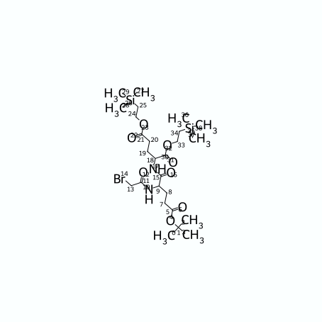 CC(C)(C)OC(=O)CCC(NC(=O)CBr)C(=O)NC(CCC(=O)OCC[Si](C)(C)C)C(=O)OCC[Si](C)(C)C